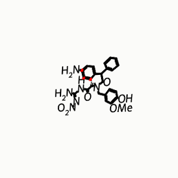 COc1cc(CN(C(=O)C(c2ccccc2)c2ccccc2)[C@@H](CCCN)C(=O)NC(N)=N[N+](=O)[O-])ccc1O